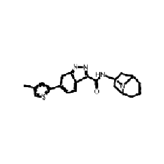 Cc1csc(C2=CC=C3C(=NN=C3C(=O)NC3CC4CCCC(C3)N4C)C2)c1